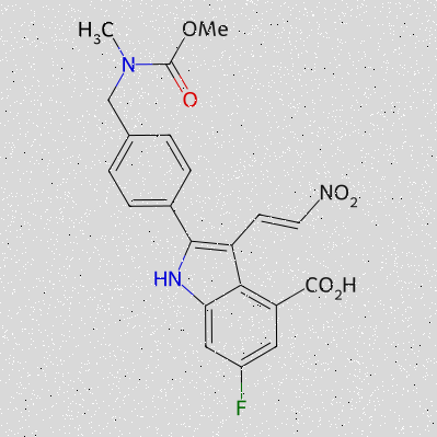 COC(=O)N(C)Cc1ccc(-c2[nH]c3cc(F)cc(C(=O)O)c3c2C=C[N+](=O)[O-])cc1